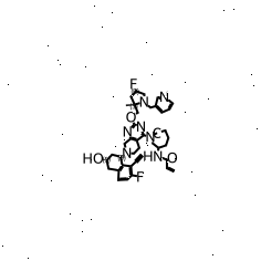 C#Cc1c(F)ccc2c1[C@@H](N1CCc3c(nc(OC[C@]4(C)C[C@@H](F)CN4Cc4cccnc4)nc3N3CCCCC(NC(=O)C=C)C3)C1)C[C@@H](O)C2